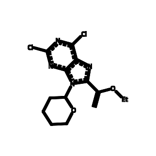 C=C(OCC)c1nc2c(Cl)nc(Cl)nc2n1C1CCCCO1